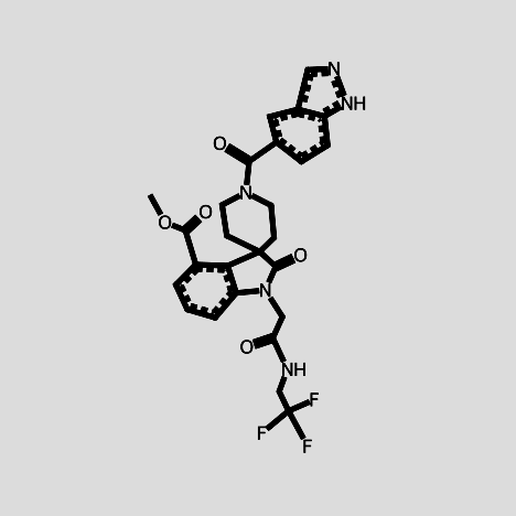 COC(=O)c1cccc2c1C1(CCN(C(=O)c3ccc4[nH]ncc4c3)CC1)C(=O)N2CC(=O)NCC(F)(F)F